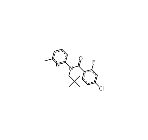 Cc1cccc(N(CC(C)(C)C)C(=O)c2ccc(Cl)cc2F)n1